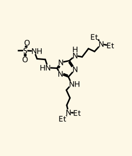 CCN(CC)CCCNc1nc(NCCCN(CC)CC)nc(NCCNS(C)(=O)=O)n1